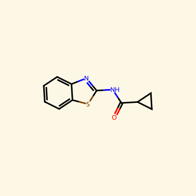 O=C(Nc1nc2ccccc2s1)C1CC1